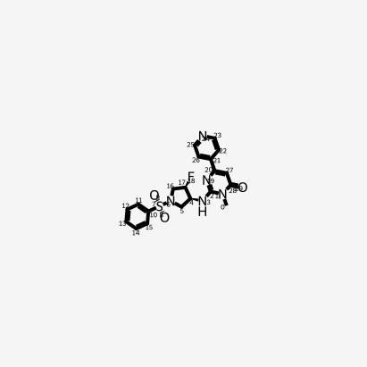 Cn1c(N[C@H]2CN(S(=O)(=O)c3ccccc3)C[C@H]2F)nc(-c2ccncc2)cc1=O